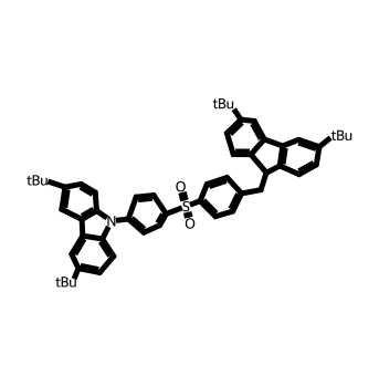 CC(C)(C)c1ccc2c(c1)-c1cc(C(C)(C)C)ccc1C2Cc1ccc(S(=O)(=O)c2ccc(-n3c4ccc(C(C)(C)C)cc4c4cc(C(C)(C)C)ccc43)cc2)cc1